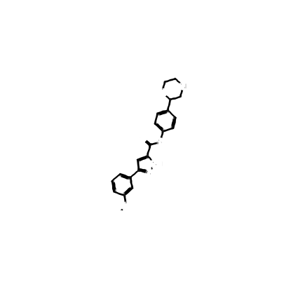 COc1cccc(-c2cc(C(=O)Nc3ccc(C4CNCCO4)cc3)[nH]n2)c1